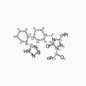 CCCC(=O)n1nc(CCC)n(Cc2ccc(-c3ccccc3-c3nnn[nH]3)cc2)c1=O